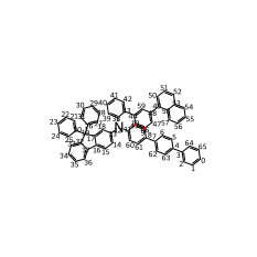 c1ccc(-c2ccc(-c3ccc(N(c4ccc5c(c4)C(c4ccccc4)(c4ccccc4)c4ccccc4-5)c4ccccc4-c4cccc(-c5cccc6ccccc56)c4)cc3)cc2)cc1